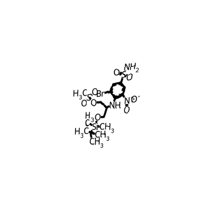 CC(C)(C)[Si](C)(C)OCC(COS(C)(=O)=O)Nc1c(Br)cc(S(N)(=O)=O)cc1[N+](=O)[O-]